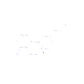 CN1CC(CNN)C[C@@H]2c3cccc4[nH]cc(c34)C[C@H]21